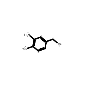 CC(C)(C)Cc1ccc(C(C)(C)C)c(N)c1